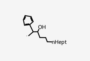 [CH2]C(c1ccccc1)C(O)CCCCCCCCCC